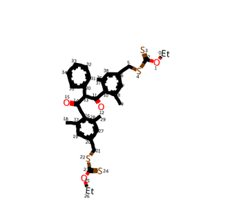 CCOC(=S)SCc1cc(C)c(C(=O)C(C(=O)c2c(C)cc(CSC(=S)OCC)cc2C)c2ccccc2)c(C)c1